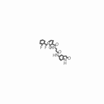 O=C(CCNC(=O)c1cccn(C(F)c2ccccc2F)c1=O)Nc1ccc2c(c1)CC(=O)N2